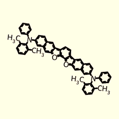 Cc1cccc(C)c1N(c1ccccc1)c1ccc2cc3c(cc2c1)oc1c3ccc2c3cc4ccc(N(c5ccccc5)c5c(C)cccc5C)cc4cc3oc21